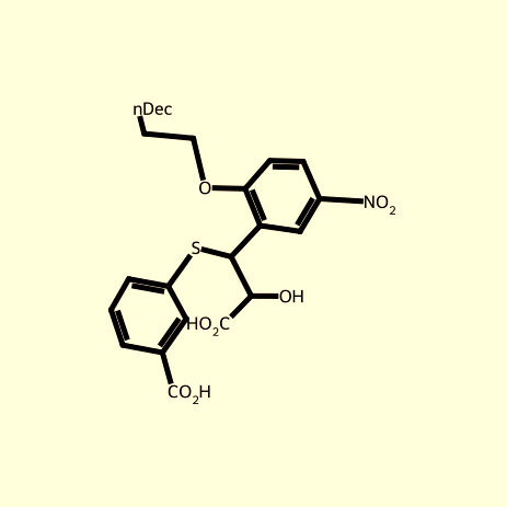 CCCCCCCCCCCCOc1ccc([N+](=O)[O-])cc1C(Sc1cccc(C(=O)O)c1)C(O)C(=O)O